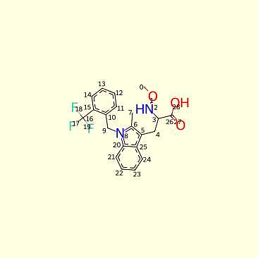 CONC(Cc1c(C)n(Cc2ccccc2C(F)(F)F)c2ccccc12)C(=O)O